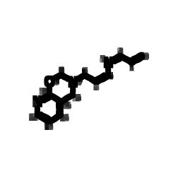 C=C/C=N\C=C/CN1COc2ncccc2C1